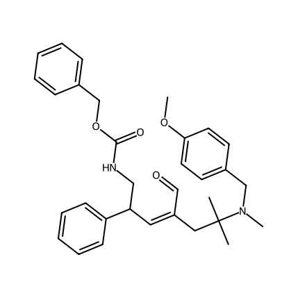 COc1ccc(CN(C)C(C)(C)C/C(C=O)=C/C(CNC(=O)OCc2ccccc2)c2ccccc2)cc1